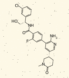 CN1C[C@H](c2cnc(N)c(-c3ccc(C(=O)N[C@H](CO)c4cccc(Cl)c4)c(F)c3)c2)CCC1=O